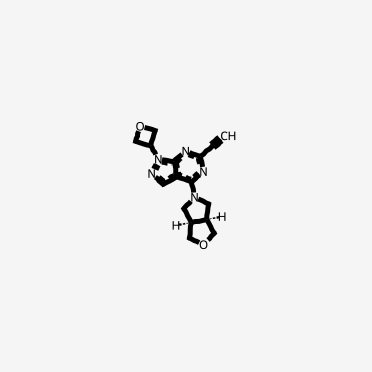 C#Cc1nc(N2C[C@H]3COC[C@H]3C2)c2cnn(C3COC3)c2n1